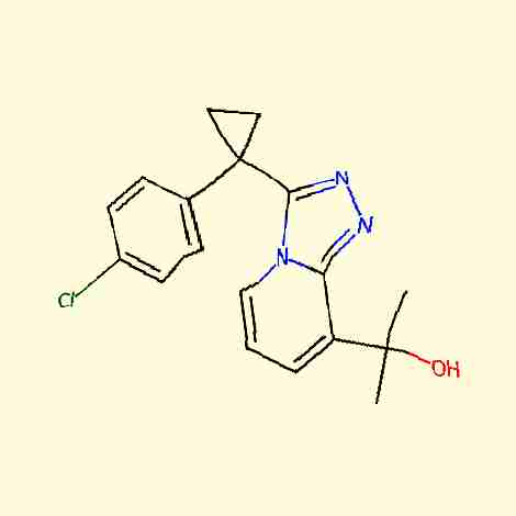 CC(C)(O)c1cccn2c(C3(c4ccc(Cl)cc4)CC3)nnc12